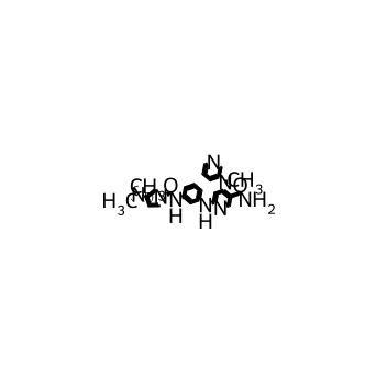 CN(c1cccnc1)c1cc(Nc2cccc(NC(=O)N3CC[C@@H](N(C)C)C3)c2)ncc1C(N)=O